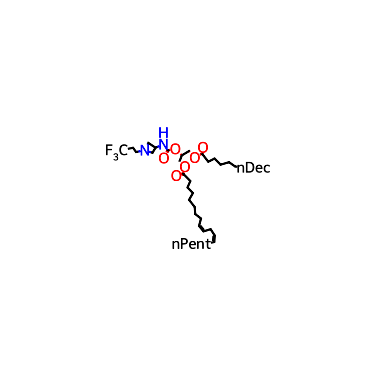 CCCCC/C=C\C/C=C\CCCCCCCC(=O)OCC(COC(=O)CCCCCCCCCCCCCCC)OC(=O)NC1CN(CCC(F)(F)F)C1